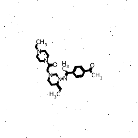 CC=C1CCN(CC(=O)N2CCN(CC)CC2)CN1/N=C(\C)c1ccc(C(C)=O)cc1